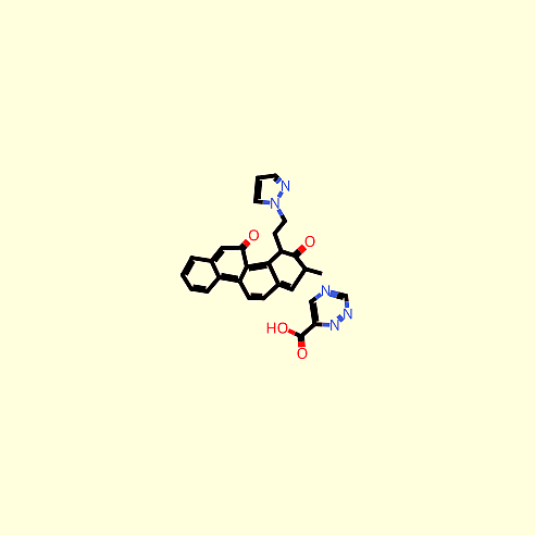 CC1C=c2ccc3c(c2C(CCn2cccn2)C1=O)C(=O)C=c1ccccc1=3.O=C(O)c1cncnn1